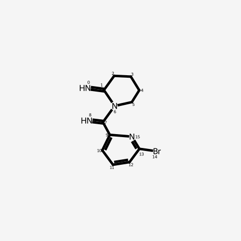 N=C1CCCCN1C(=N)c1cccc(Br)n1